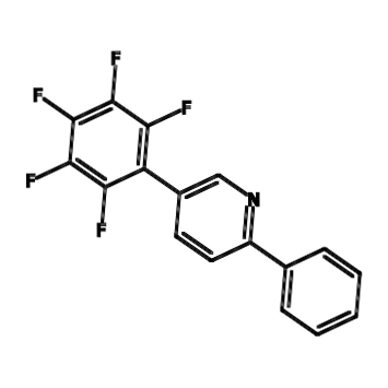 Fc1c(F)c(F)c(-c2ccc(-c3ccccc3)nc2)c(F)c1F